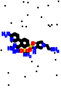 NCCN1CCC(NS(=O)(=O)c2ccc(-c3ccc(N)nc3)c(-c3nn[nH]n3)c2S(N)(=O)=O)C1